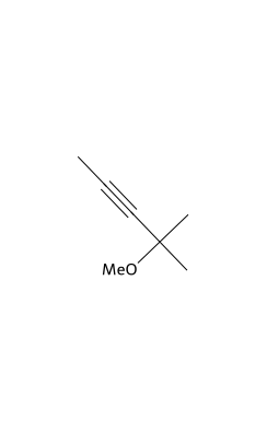 CC#CC(C)(C)OC